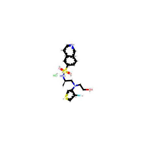 C[C@H](CN(CCO)c1cscc1F)NS(=O)(=O)c1ccc2cnccc2c1.Cl